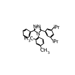 Cc1ccc(-n2c(-c3ccccc3)nnc2-c2cc(C(C)C)cc(C(C)C)c2)c(C)c1